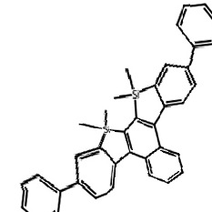 C[Si]1(C)c2cc(-c3ccccc3)ccc2-c2c1c1c(c3ccccc23)-c2ccc(-c3ccccc3)cc2[Si]1(C)C